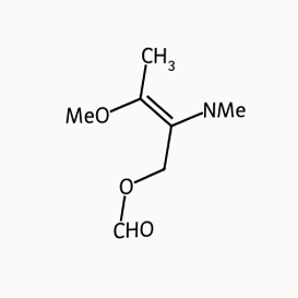 CN/C(COC=O)=C(\C)OC